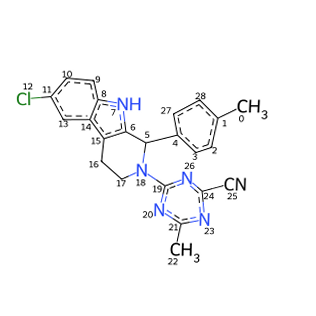 Cc1ccc(C2c3[nH]c4ccc(Cl)cc4c3CCN2c2nc(C)nc(C#N)n2)cc1